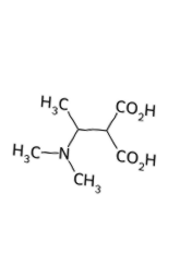 CC(C(C(=O)O)C(=O)O)N(C)C